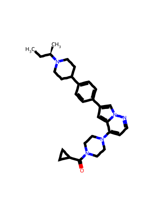 CC[C@@H](C)N1CCC(c2ccc(-c3cc4c(N5CCN(C(=O)C6CC6)CC5)ccnn4c3)cc2)CC1